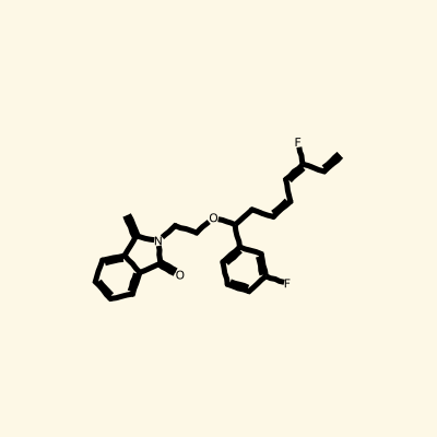 C=C/C(F)=C\C=C/CC(OCCN1C(=C)c2ccccc2C1=O)c1cccc(F)c1